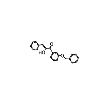 O=C(C(O)=Cc1ccccc1)c1cccc(OCc2ccccc2)c1